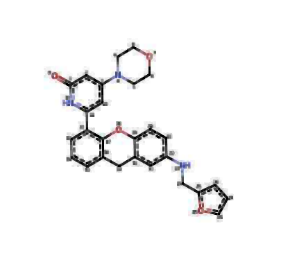 O=c1cc(N2CCOCC2)cc(-c2cccc3c2Oc2ccc(NCc4ccco4)cc2C3)[nH]1